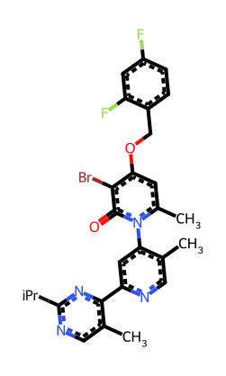 Cc1cnc(-c2nc(C(C)C)ncc2C)cc1-n1c(C)cc(OCc2ccc(F)cc2F)c(Br)c1=O